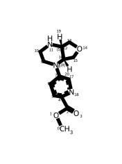 COC(=O)c1ccc(N2CCN[C@@H]3COC[C@@H]32)cn1